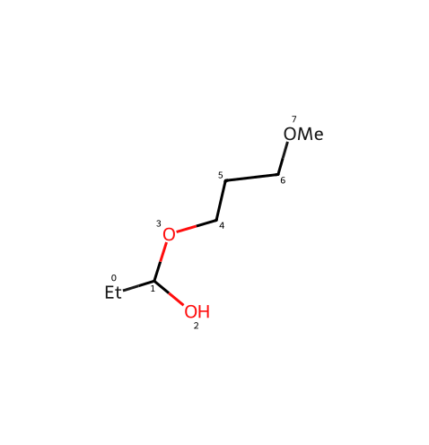 CCC(O)OCCCOC